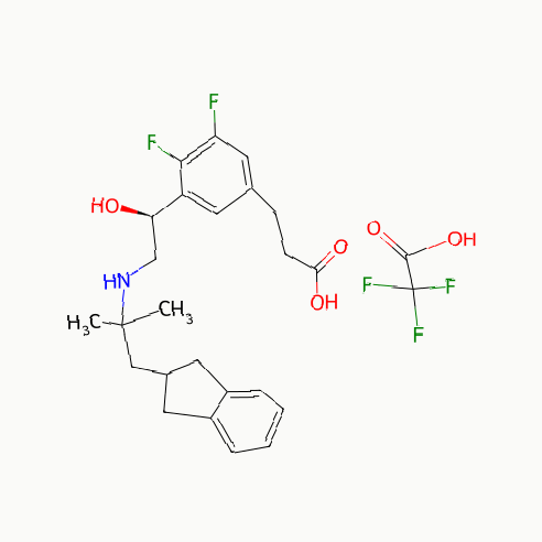 CC(C)(CC1Cc2ccccc2C1)NC[C@@H](O)c1cc(CCC(=O)O)cc(F)c1F.O=C(O)C(F)(F)F